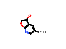 CCOC(=O)c1cnc2c(c1)C(O)CO2